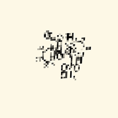 COC(=O)[C@H]1[C@@H](O)C[C@H]2CC[C@@H]1N2C.O=C(O)c1ccccc1